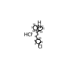 Cl.Clc1ccc(CCCC2=CCCNC23CCCCC3)cc1